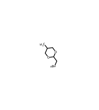 CCCCCC1OCC(C)CO1